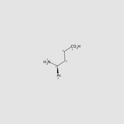 CC(=O)[C@@H](N)CCC(=O)O